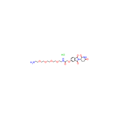 Cl.NCCOCCOCCOCCOCCNC(=O)COc1ccc2c(c1)C(=O)N(C1CCC(=O)NC1=O)C2=O